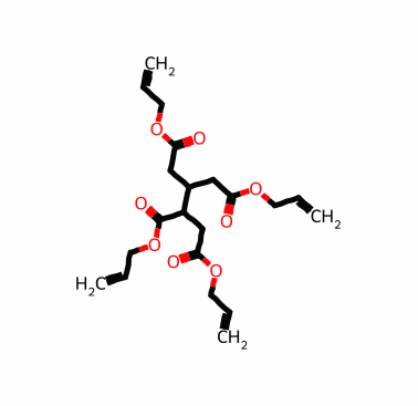 C=CCOC(=O)CC(CC(=O)OCC=C)C(CC(=O)OCC=C)C(=O)OCC=C